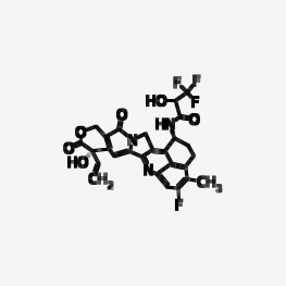 C=C[C@@]1(O)C(=O)OCc2c1cc1n(c2=O)Cc2c-1nc1cc(F)c(C)c3c1c2[C@@H](NC(=O)C(O)C(F)(F)F)CC3